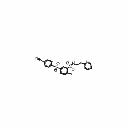 Cc1ccc(S(=O)(=O)c2ccc(C#N)cc2)cc1S(=O)(=O)NCCc1ccccn1